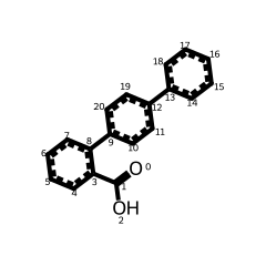 O=C(O)c1ccccc1-c1ccc(-c2ccccc2)cc1